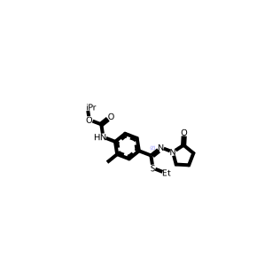 CCS/C(=N\N1CCCC1=O)c1ccc(NC(=O)OC(C)C)c(C)c1